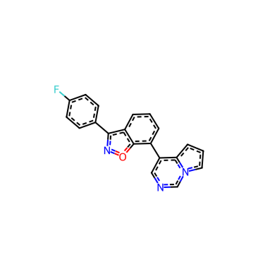 Fc1ccc(-c2noc3c(-c4cncn5cccc45)cccc23)cc1